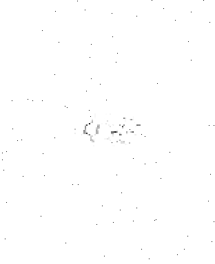 COc1ccc(CCOC2(N3CCCC3O)CCCCC2)cc1OC.Cl